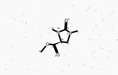 COC(=O)[C@@H]1CN(C)C(=O)N1C